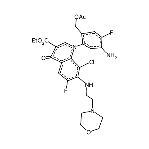 CCOC(=O)c1cn(-c2cc(N)c(F)cc2COC(C)=O)c2c(Cl)c(NCCN3CCOCC3)c(F)cc2c1=O